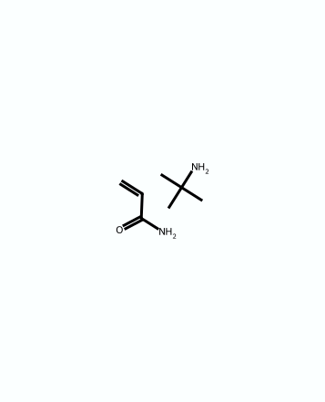 C=CC(N)=O.CC(C)(C)N